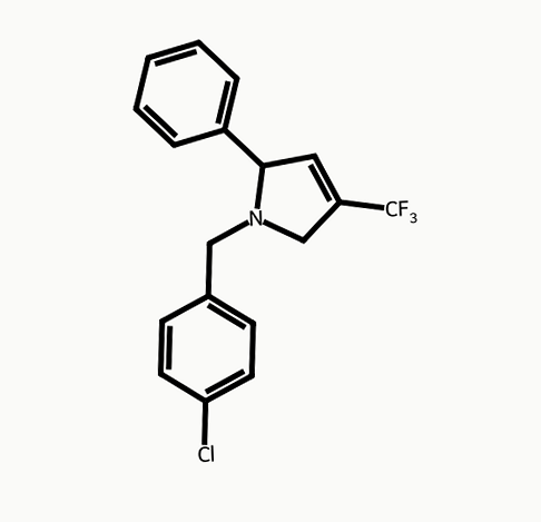 FC(F)(F)C1=CC(c2ccccc2)N(Cc2ccc(Cl)cc2)C1